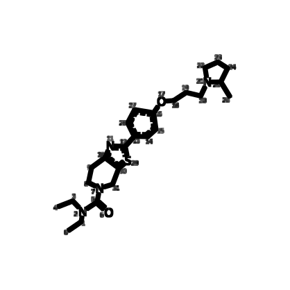 CCN(CC)C(=O)N1CCc2nc(-c3ccc(OCCCN4CCCC4C)cc3)sc2C1